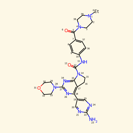 CCN1CCN(C(=O)c2ccc(NC(=O)N3CCc4c(-c5cnc(N)nc5)nc(N5CCOCC5)nc43)cc2)CC1